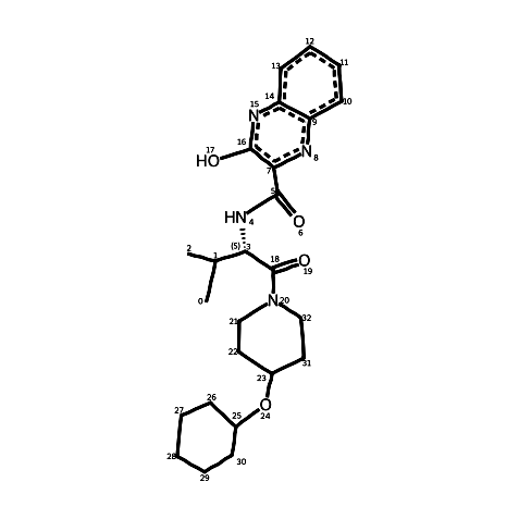 CC(C)[C@H](NC(=O)c1nc2ccccc2nc1O)C(=O)N1CCC(OC2CCCCC2)CC1